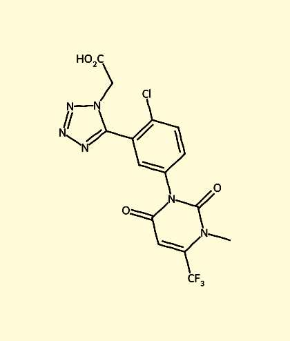 Cn1c(C(F)(F)F)cc(=O)n(-c2ccc(Cl)c(-c3nnnn3CC(=O)O)c2)c1=O